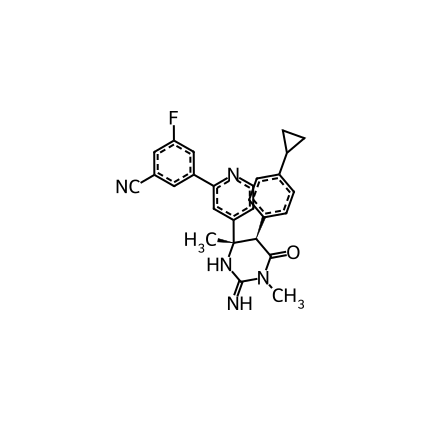 CN1C(=N)N[C@](C)(c2ccnc(-c3cc(F)cc(C#N)c3)c2)[C@@H](c2ccc(C3CC3)cc2)C1=O